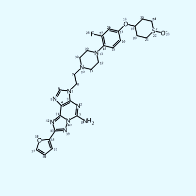 Nc1nc2c(ncn2CCN2CCN(c3ccc(OC4CC[S+]([O-])CC4)cc3F)CC2)c2nc(-c3ccco3)nn12